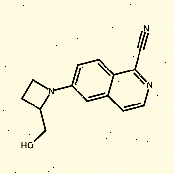 N#Cc1nccc2cc(N3CCC3CO)ccc12